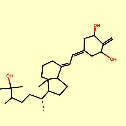 C=C1C(O)C/C(=C\C=C2/CCCC3(C)C2CCC3[C@H](C)CCC(C)C(C)(C)O)C[C@H]1O